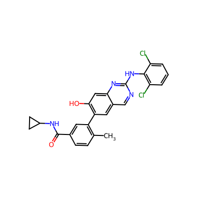 Cc1ccc(C(=O)NC2CC2)cc1-c1cc2cnc(Nc3c(Cl)cccc3Cl)nc2cc1O